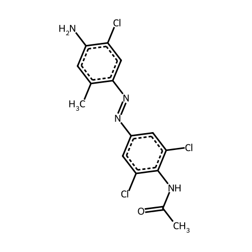 CC(=O)Nc1c(Cl)cc(N=Nc2cc(Cl)c(N)cc2C)cc1Cl